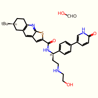 CC(C)(C)[C@H]1CCc2nc3sc(C(=O)N[C@H](CCNCCO)c4ccc(-c5ccc(=O)[nH]c5)cc4)cc3cc2C1.O=CO